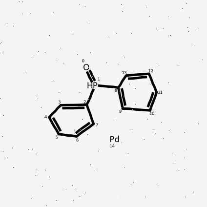 O=[PH](c1ccccc1)c1ccccc1.[Pd]